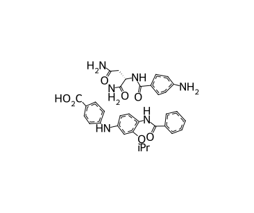 CC(C)Oc1cc(Nc2ccc(C(=O)O)cc2)ccc1NC(=O)c1ccccc1.NC(=O)C[C@H](NC(=O)c1ccc(N)cc1)C(N)=O